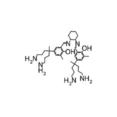 Cc1cc(C(C)(CCCN)CCCN)cc(/C=N/[C@@H]2CCCC[C@H]2/N=C/c2cc(C(C)(CCCN)CCCN)cc(C)c2O)c1O